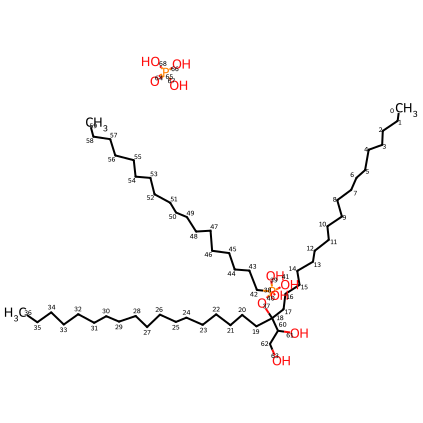 CCCCCCCCCCCCCCCCCCC(CCCCCCCCCCCCCCCCCC)(OP(O)(O)(O)CCCCCCCCCCCCCCCCCC)C(O)CO.O=P(O)(O)O